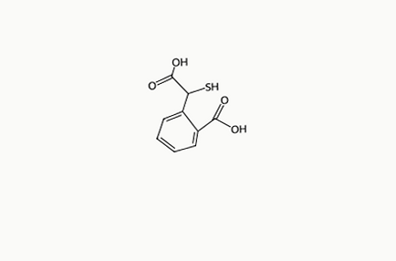 O=C(O)c1ccccc1C(S)C(=O)O